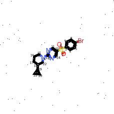 O=S(=O)(c1ccc(Br)cc1)c1cnc(N2CCCC(C3CC3)C2)nc1